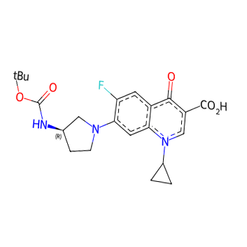 CC(C)(C)OC(=O)N[C@@H]1CCN(c2cc3c(cc2F)c(=O)c(C(=O)O)cn3C2CC2)C1